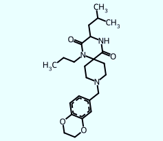 CCCN1C(=O)C(CC(C)C)NC(=O)C12CCN(Cc1ccc3c(c1)OCCO3)CC2